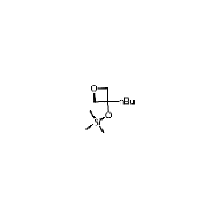 CCCCC1(O[Si](C)(C)C)[CH]OC1